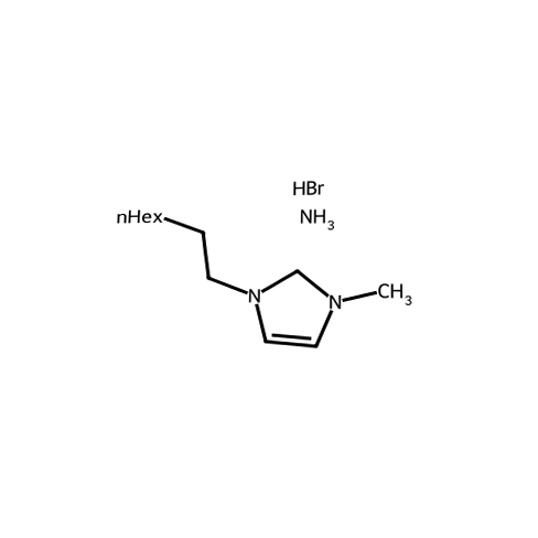 Br.CCCCCCCCN1C=CN(C)C1.N